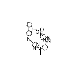 N#Cc1cnc(N[C@@H]2CCC[C@H](c3nnc4n3CCN(C(=O)OCC3c5ccccc5-c5ccccc53)C4)C2)nc1